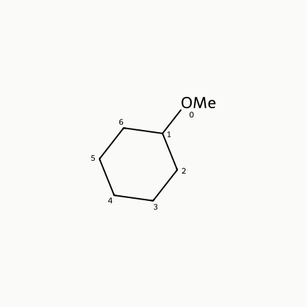 [CH2-][OH+]C1CCCCC1